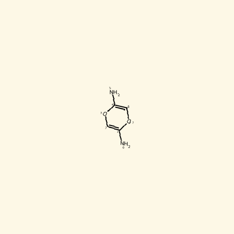 NC1=COC(N)=CO1